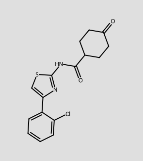 O=C1CCC(C(=O)Nc2nc(-c3ccccc3Cl)cs2)CC1